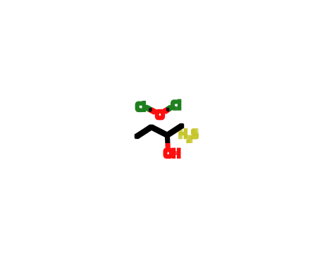 CCC(C)O.ClOCl.S